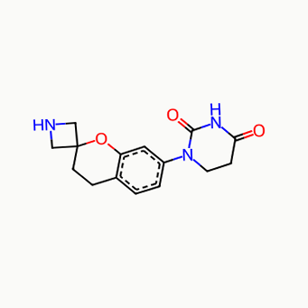 O=C1CCN(c2ccc3c(c2)OC2(CC3)CNC2)C(=O)N1